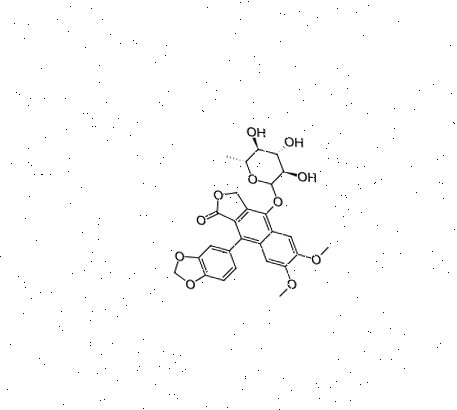 COc1cc2c(OC3O[C@H](C)[C@@H](O)[C@H](O)[C@H]3O)c3c(c(-c4ccc5c(c4)OCO5)c2cc1OC)C(=O)OC3